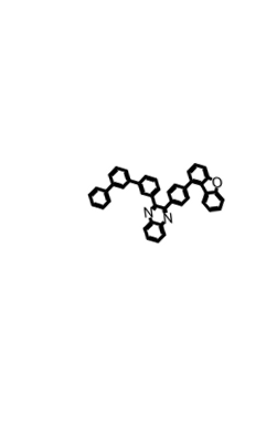 c1ccc(-c2cccc(-c3cccc(-c4nc5ccccc5nc4-c4ccc(-c5cccc6oc7ccccc7c56)cc4)c3)c2)cc1